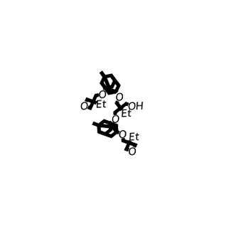 CCC1(COC23CC4CC(C)(C2)CC(OCC(CC)(CO)COC25CC6CC(C)(CC(OCC7(CC)COC7)(C6)C2)C5)(C4)C3)COC1